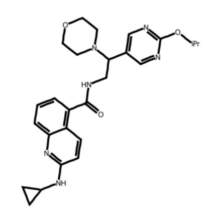 CC(C)Oc1ncc(C(CNC(=O)c2cccc3nc(NC4CC4)ccc23)N2CCOCC2)cn1